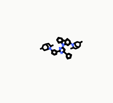 CC1CC2CC(C)N(c3cccc(-c4nc(-c5ccccc5)cc(-n5c6ccccc6c6ccc(N7C(C)CC8CC(C)CC7C8)cc65)n4)c3)C(C1)C2